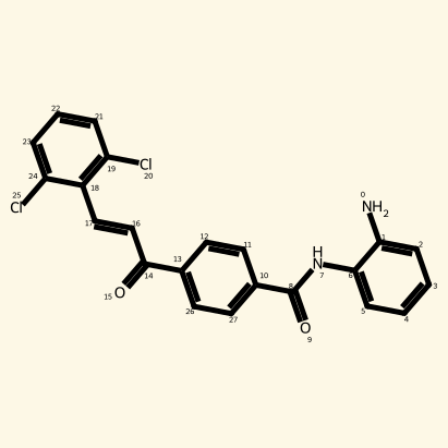 Nc1ccccc1NC(=O)c1ccc(C(=O)C=Cc2c(Cl)cccc2Cl)cc1